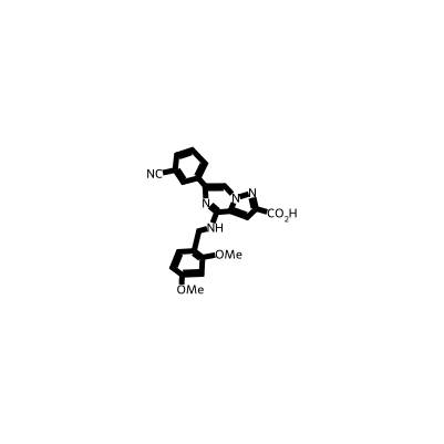 COc1ccc(CNc2nc(-c3cccc(C#N)c3)cn3nc(C(=O)O)cc23)c(OC)c1